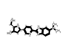 CN(C)c1ccc2nc(-c3ccc([C@H]4CC(O)[C@@H](CO)O4)cn3)oc2c1